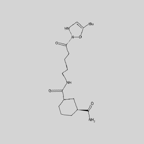 CC(C)(C)C1=CNN(C(=O)CCCCNC(=O)C2CCC[C@H](C(N)=O)C2)O1